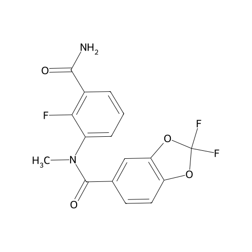 CN(C(=O)c1ccc2c(c1)OC(F)(F)O2)c1cccc(C(N)=O)c1F